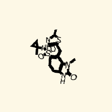 Cc1ncc(Cc2c(S(=O)(=O)NC3(C)CC3)ccc3[nH]c(=O)n(C)c23)s1